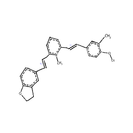 CCOc1ccc(/C=C/c2cccc(/C=C/c3ccc4c(c3)CCO4)[n+]2C)cc1C